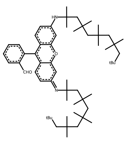 CC(C)(C)CC(C)(C)CC(C)(C)CC(C)(C)CC(C)(C)/N=c1/ccc2c(-c3ccccc3C=O)c3ccc(NC(C)(C)CC(C)(C)CC(C)(C)CC(C)(C)CC(C)(C)C)cc3oc-2c1